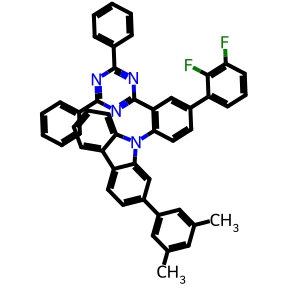 Cc1cc(C)cc(-c2ccc3c4ccccc4n(-c4ccc(-c5cccc(F)c5F)cc4-c4nc(-c5ccccc5)nc(-c5ccccc5)n4)c3c2)c1